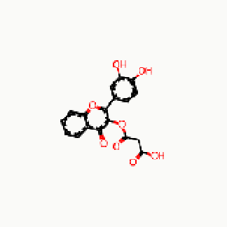 O=C(O)CC(=O)Oc1c(-c2ccc(O)c(O)c2)oc2ccccc2c1=O